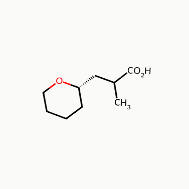 CC(C[C@@H]1CCCCO1)C(=O)O